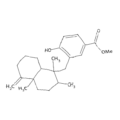 C=C1CCCC2C1(C)CCC(C)C2(C)Cc1cc(C(=O)OC)ccc1O